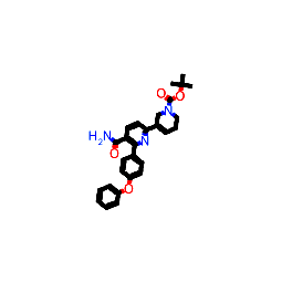 CC(C)(C)OC(=O)N1CCC=C(c2ccc(C(N)=O)c(-c3ccc(Oc4ccccc4)cc3)n2)C1